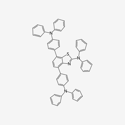 c1ccc(N(c2ccccc2)c2ccc(-c3ccc(-c4ccc(N(c5ccccc5)c5ccccc5)cc4)c4sc(N(c5ccccc5)c5ccccc5)nc34)cc2)cc1